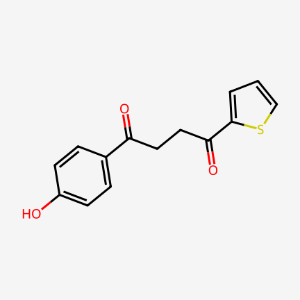 O=C(CCC(=O)c1cccs1)c1ccc(O)cc1